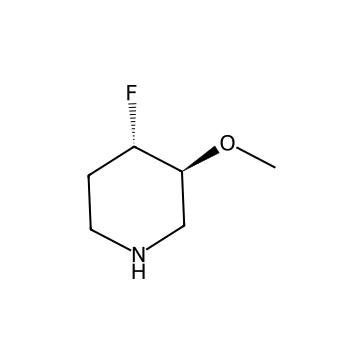 CO[C@H]1CNCC[C@@H]1F